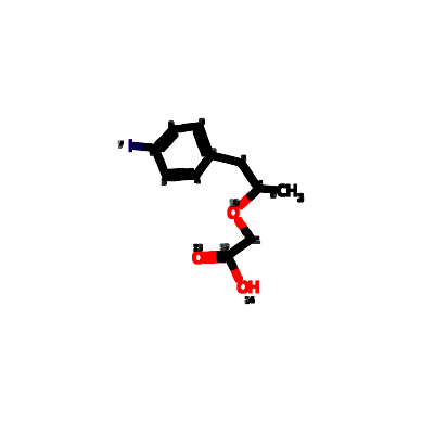 CC(Cc1ccc(I)cc1)OCC(=O)O